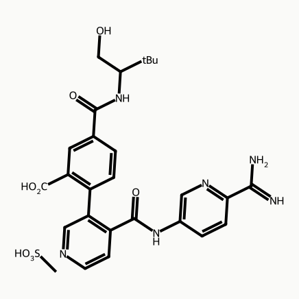 CC(C)(C)C(CO)NC(=O)c1ccc(-c2cnccc2C(=O)Nc2ccc(C(=N)N)nc2)c(C(=O)O)c1.CS(=O)(=O)O